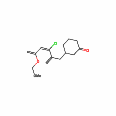 C=C(/C=C(/Cl)C(=C)CC1CCCC(=O)C1)OCOC